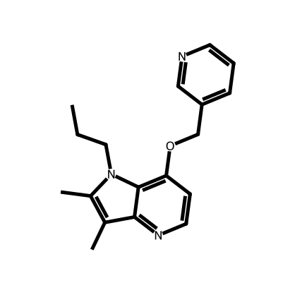 CCCn1c(C)c(C)c2nccc(OCc3cccnc3)c21